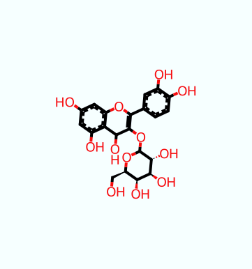 OC[C@H]1OC(OC2=C(c3ccc(O)c(O)c3)Oc3cc(O)cc(O)c3C2O)[C@H](O)[C@@H](O)[C@H]1O